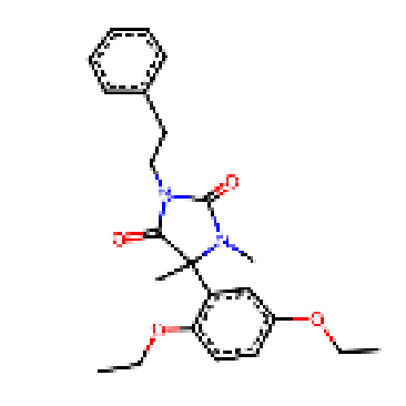 CCOc1ccc(OCC)c(C2(C)C(=O)N(CCc3ccccc3)C(=O)N2C)c1